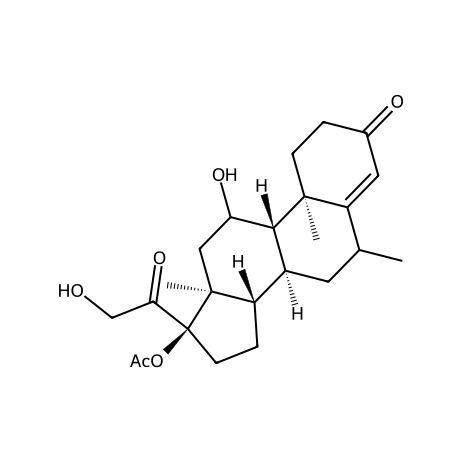 CC(=O)O[C@]1(C(=O)CO)CC[C@H]2[C@@H]3CC(C)C4=CC(=O)CC[C@]4(C)[C@H]3C(O)C[C@@]21C